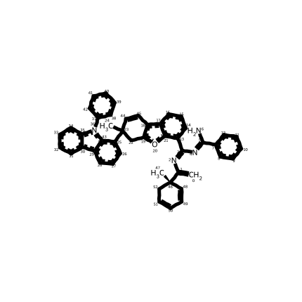 C=C(/N=C(\N=C(/N)c1ccccc1)c1cccc2c3c(oc12)CC(C)(c1cccc2c4ccccc4n(-c4ccccc4)c12)C=C3)[C@]1(C)C=CC=CC1